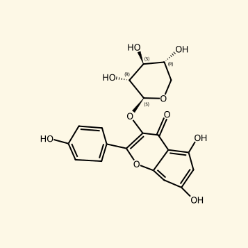 O=c1c(O[C@@H]2OC[C@@H](O)[C@H](O)[C@H]2O)c(-c2ccc(O)cc2)oc2cc(O)cc(O)c12